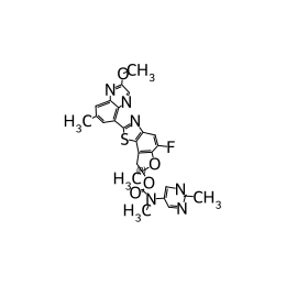 COc1cnc2c(-c3nc4cc(F)c5c(c4s3)C[C@@](C)(OC(=O)N(C)c3cnc(C)nc3)O5)cc(C)cc2n1